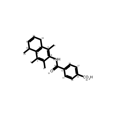 Cc1c(C)c2c(c(C)c1NC(=O)c1ccc(C(=O)O)cc1)CC=CC2C